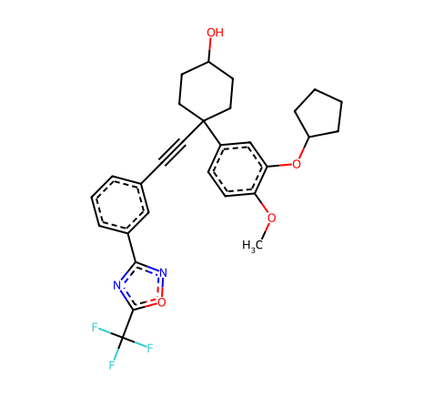 COc1ccc(C2(C#Cc3cccc(-c4noc(C(F)(F)F)n4)c3)CCC(O)CC2)cc1OC1CCCC1